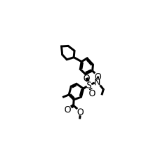 CCN(Oc1ccc(C2CCCCC2)cc1)S(=O)(=O)c1ccc(C)c(C(=O)OC)c1